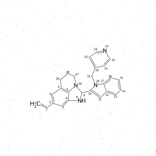 C=Cc1cc2c3c(c1)NC(c1cc4ccccc4n1Cc1ccncc1)N3CCC2